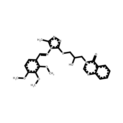 COc1ccc(C=Nn2c(C)nnc2SCC(O)Cn2cnc3ccccc3c2=O)c(OC)c1OC